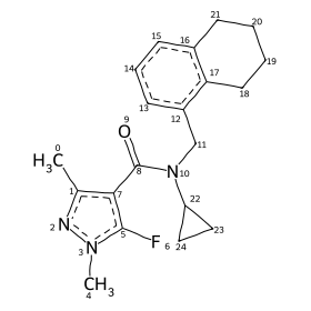 Cc1nn(C)c(F)c1C(=O)N(Cc1cccc2c1CCCC2)C1CC1